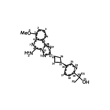 COc1cccc2c1nc(N)n1nc([C@H]3C[C@H](c4ccc(C(C)(C)O)nc4)C3)nc21